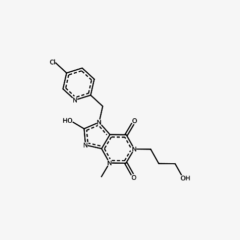 Cn1c(=O)n(CCCO)c(=O)c2c1nc(O)n2Cc1ccc(Cl)cn1